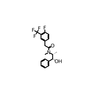 C[C@H]([C@H](O)c1ccccc1)N(C)C(=O)Cc1ccc(F)c(C(F)(F)F)c1